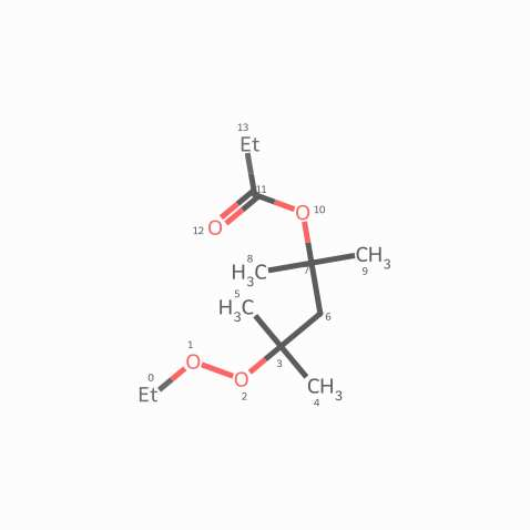 CCOOC(C)(C)CC(C)(C)OC(=O)CC